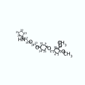 COc1ccc(COc2ccc(OCCOCCNC3CCCC3)cc2)cc1OC